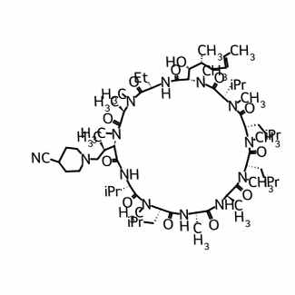 C/C=C/C[C@@H](C)[C@@H](O)[C@H]1C(=O)N[C@@H](CC)C(=O)N(C)[C@H](C)C(=O)N(C)[C@@H]([C@H](C)CN2CCC(C#N)CC2)C(=O)N[C@@H](C(C)C)C(=O)N(C)[C@@H](CC(C)C)C(=O)N[C@@H](C)C(=O)N[C@H](C)C(=O)N(C)[C@@H](CC(C)C)C(=O)N(C)[C@@H](CC(C)C)C(=O)N(C)[C@@H](C(C)C)C(=O)N1C